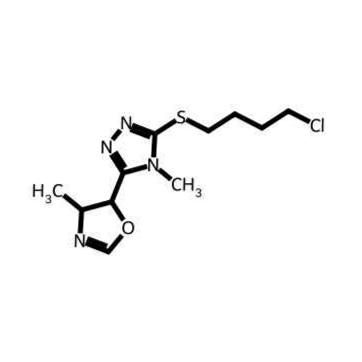 CC1N=COC1c1nnc(SCCCCCl)n1C